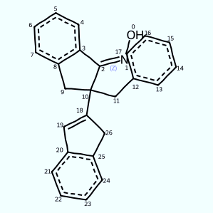 O/N=C1\c2ccccc2CC1(Cc1ccccc1)C1=Cc2ccccc2C1